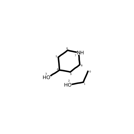 CCO.OC1CCNCC1